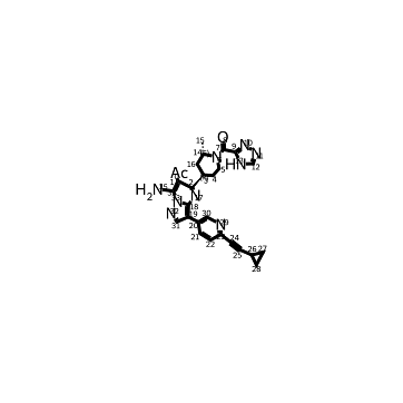 CC(=O)c1c([C@@H]2CCN(C(=O)c3nnc[nH]3)[C@@H](C)C2)nc2c(-c3ccc(C#CC4CC4)nc3)cnn2c1N